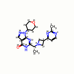 Cc1nccc(C2CN([C@H](C)c3nc4c(cnn4C4CCOCC4)c(=O)[nH]3)C2)n1